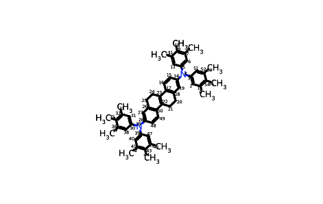 Cc1cc(N(c2cc(C)c(C)c(C)c2)c2ccc3c(c2)CCC2=C3CCc3cc(N(c4cc(C)c(C)c(C)c4)c4cc(C)c(C)c(C)c4)ccc32)cc(C)c1C